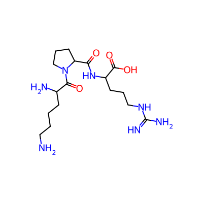 N=C(N)NCCCC(NC(=O)C1CCCN1C(=O)C(N)CCCCN)C(=O)O